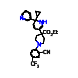 CCOC(=O)C1(C2=CNC(c3cccnc3)(C3CC3)C=C2)CCN(c2ccc(C(F)(F)F)cc2C#N)CC1